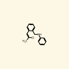 C/C(Cl)=C/c1ccccc1CNc1ccccc1